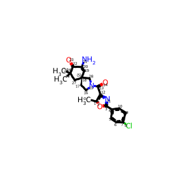 Cc1oc(-c2ccc(Cl)cc2)nc1C(=O)N1CC[C@@]2(C=C(N)C(=O)C(C)(C)C2)C1